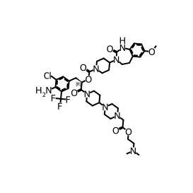 COc1ccc2c(c1)CCN(C1CCN(C(=O)O[C@H](Cc3cc(Cl)c(N)c(C(F)(F)F)c3)C(=O)N3CCC(N4CCN(CC(=O)OCCN(C)C)CC4)CC3)CC1)C(=O)N2